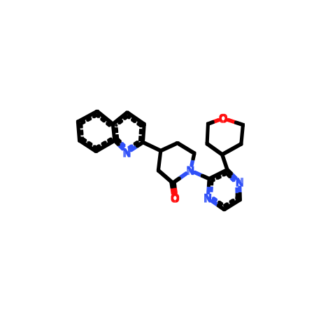 O=C1CC(c2ccc3ccccc3n2)CCN1c1nccnc1C1CCOCC1